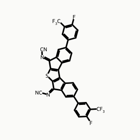 N#C/N=c1/c2cc(-c3ccc(F)c(C(F)(F)F)c3)ccc2c2c1sc1/c(=N/C#N)c3cc(-c4ccc(F)c(C(F)(F)F)c4)ccc3c12